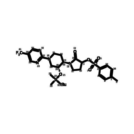 Cc1ccc(S(=O)(=O)OC2CCN([C@@H]3CCN(c4ncc(C(F)(F)F)cn4)C[C@H]3O[Si](C)(C)C(C)(C)C)C2=O)cc1